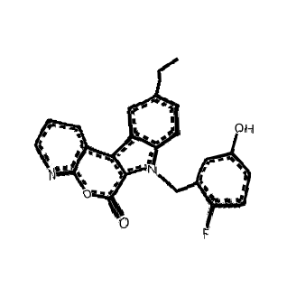 CCc1ccc2c(c1)c1c3cccnc3oc(=O)c1n2Cc1cc(O)ccc1F